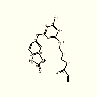 C=CC(=O)OCCCNc1nc(Nc2ccc3[nH]c(=O)[nH]c3c2)nc(C(C)(C)C)n1